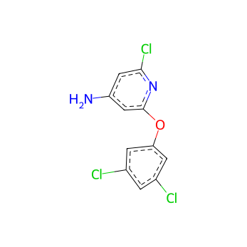 Nc1cc(Cl)nc(Oc2cc(Cl)cc(Cl)c2)c1